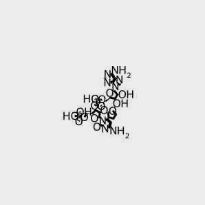 Nc1ccn([C@@H]2O[C@H](COP(=O)(O)O)[C@@H](OP(=O)(O)OC[C@H]3OC(n4cnc5c(N)ncnc54)[C@H](O)[C@@H]3O)[C@H]2OC2CCCO2)c(=O)n1